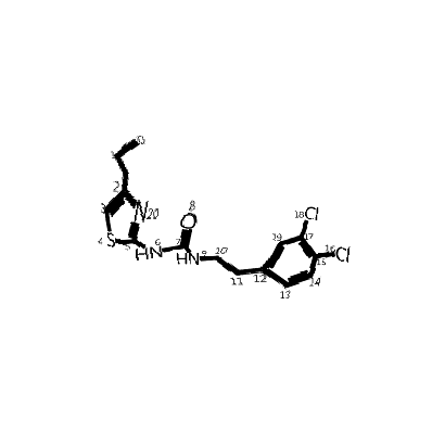 CCc1csc(NC(=O)NCCc2ccc(Cl)c(Cl)c2)n1